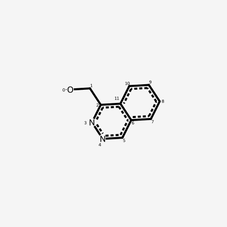 [O]Cc1nncc2ccccc12